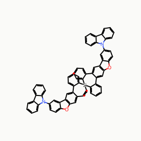 c1ccc2c(c1)-c1cc3oc4ccc(-n5c6ccccc6c6ccccc65)cc4c3cc1-c1ccccc1[Si]21c2ccccc2-c2cc3oc4ccc(-n5c6ccccc6c6ccccc65)cc4c3cc2-c2ccccc21